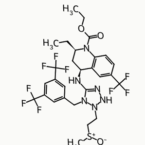 CCOC(=O)N1c2ccc(C(F)(F)F)cc2[C@@H](NC2=NNN(CC[S+](C)[O-])N2Cc2cc(C(F)(F)F)cc(C(F)(F)F)c2)C[C@H]1CC